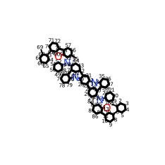 Cc1ccccc1-c1cccc2c1oc1c(N(c3ccccc3)c3ccc4c5cc6c(cc5n5c7ccccc7c3c45)c3ccc(N(c4ccccc4)c4c(C)ccc5c4oc4c(-c7ccccc7C)cccc45)c4c5ccccc5n6c34)c(C)ccc12